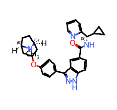 CN1[C@@H]2CC[C@H]1CC(Oc1ccc(-c3n[nH]c4ccc(C(=O)N[C@H](c5ccccn5)C5CC5)cc34)cc1)C2